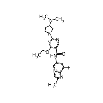 CCOc1nc(N2CCC(N(C)C)C2)ncc1C(=O)Nc1cc(F)c2nc(C)cn2c1